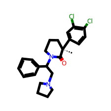 C[C@@]1(c2ccc(Cl)c(Cl)c2)CCCN(C(CN2CCCC2)c2ccccc2)C1=O